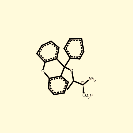 CC(OC1(c2ccccc2)c2ccccc2Oc2ccccc21)[C@@H](N)C(=O)O